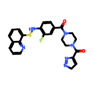 O=C(C1=CCN=N1)N1CCN(C(=O)c2ccc(NSc3cccc4cccnc34)c(F)c2)CC1